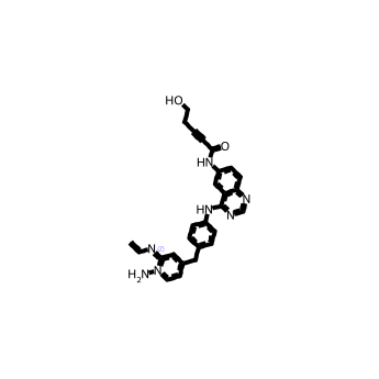 C=C/N=c1/cc(Cc2ccc(Nc3ncnc4ccc(NC(=O)C#CCCO)cc34)cc2)ccn1N